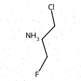 FCCCCl.N